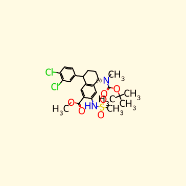 COC(=O)c1cc2c(cc1NS(C)(=O)=O)[C@@H](N(C)C(=O)OC(C)(C)C)CCC2c1ccc(Cl)c(Cl)c1